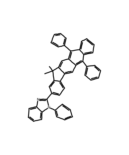 CC1(C)c2cc(-c3nc4ccccc4n3-c3ccccc3)ccc2-c2cc3c(-c4ccccc4)c4ccccc4c(-c4ccccc4)c3cc21